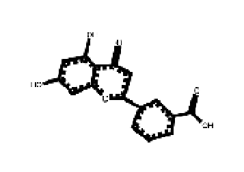 O=C(O)c1cccc(-c2cc(=O)c3c(O)cc(O)cc3o2)c1